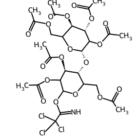 CC(=O)OCC1OC(OC(=N)C(Cl)(Cl)Cl)C(OC(C)=O)[C@@H](OC(C)=O)[C@@H]1O[C@@H]1OC(COC(C)=O)[C@@H](OC(C)=O)[C@H](OC(C)=O)C1OC(C)=O